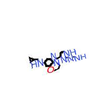 N=C/N=c1/nc(-c2nc3cc(NCC4CC4)cc4c3n2CCCO4)cc[nH]1